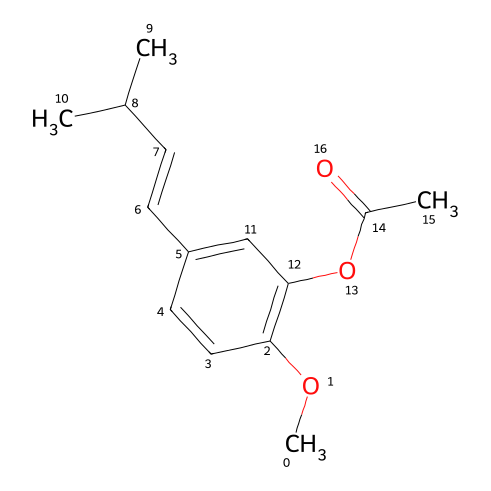 COc1ccc(/C=C/C(C)C)cc1OC(C)=O